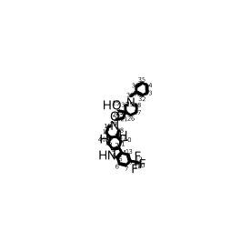 C[C@H]1c2c([nH]c3ccc(C(F)(F)F)cc23)C[C@H]2CCN(CCC3(C(=O)O)CCCN(Cc4ccccc4)C3)C[C@@H]21